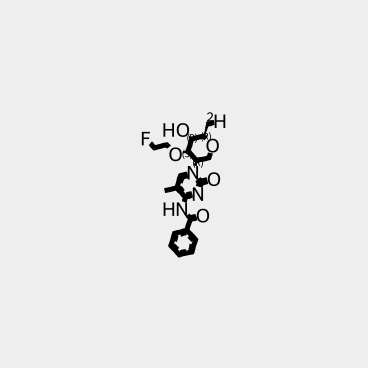 [2H]C[C@H]1OC[C@@H](n2cc(C)c(NC(=O)c3ccccc3)nc2=O)[C@H](OCCF)[C@@H]1O